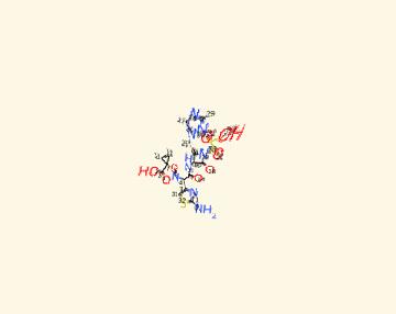 Nc1nc(C(=NOC2(C(=O)O)CC2)C(=O)N[C@@H]2C(=O)N(S(=O)(=O)O)[C@H]2Cn2cncn2)cs1